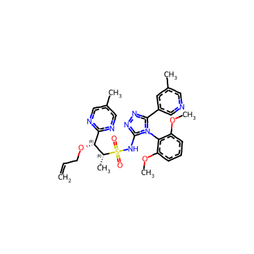 C=CCO[C@H](c1ncc(C)cn1)[C@@H](C)S(=O)(=O)Nc1nnc(-c2cncc(C)c2)n1-c1c(OC)cccc1OC